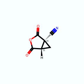 N#C[C@]12C[C@@H]1C(=O)OC2=O